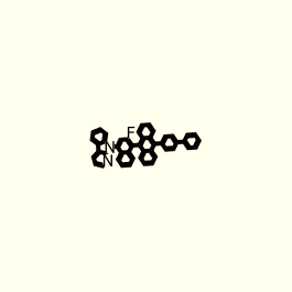 Fc1cc(-n2c3ccccc3c3cccnc32)c2ccccc2c1-c1c2ccccc2c(-c2ccc(-c3ccccc3)cc2)c2ccccc12